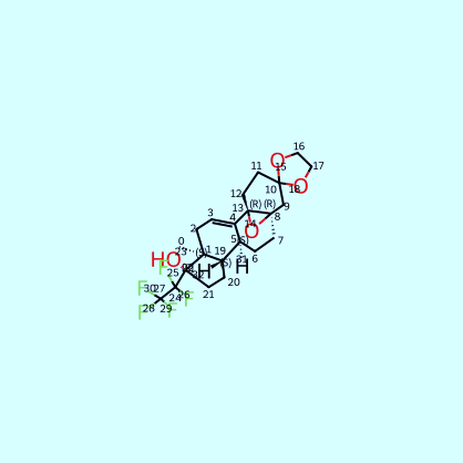 C[C@]12CC=C3[C@@H](CC[C@@]45CC6(CC[C@@]34O5)OCCO6)[C@@H]1CC[C@@]2(O)C(F)(F)C(F)(F)F